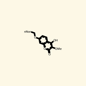 CCCCCCCCCCOc1ccc2c(O)c(OC)c(=O)oc2c1